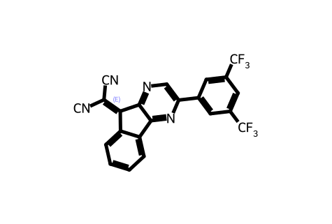 [C-]#[N+]/C(C#N)=C1\c2ccccc2-c2nc(-c3cc(C(F)(F)F)cc(C(F)(F)F)c3)cnc21